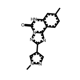 Cc1ccc2c(c1)[nH]c(=O)n1nc(-c3cnn(C)c3)nc21